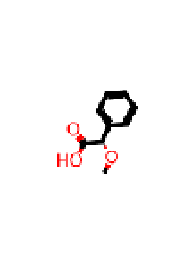 CO[C@H](C(=O)O)c1ccccc1